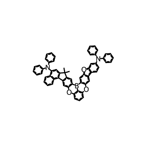 CC1(C)c2cc3c(cc2-c2c1cc(N(c1ccccc1)c1ccccc1)c1ccccc21)Oc1cccc2c1B3c1cc3oc4cc(N(c5ccccc5)c5ccccc5)ccc4c3cc1O2